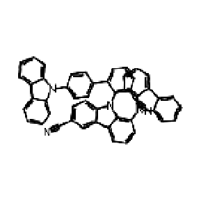 N#Cc1ccc2c(c1)c1cccc(-n3c4ccccc4c4ccccc43)c1n2-c1c(C#N)cccc1-c1ccc(-n2c3ccccc3c3ccccc32)cc1